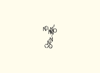 C=CCn1c(-c2cccnc2)nn(CCCN2CCN(c3ccccc3OC)CC2)c1=O